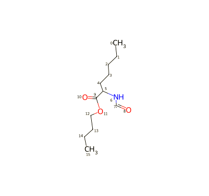 CCCCCC(N[C]=O)C(=O)OCCCC